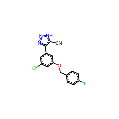 N#Cc1[nH]nnc1-c1cc(Cl)cc(OCc2ccc(F)cc2)c1